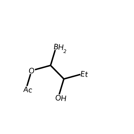 BC(OC(C)=O)C(O)CC